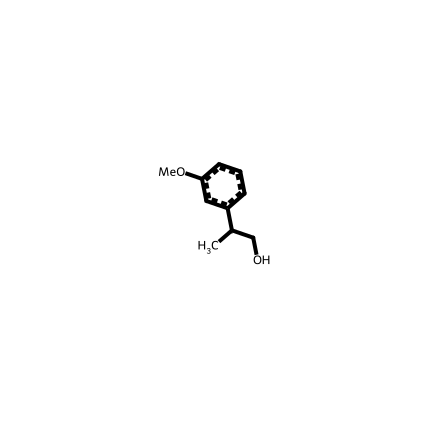 COc1cccc([C](C)CO)c1